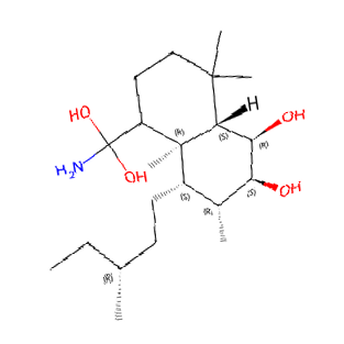 CC[C@@H](C)CC[C@H]1[C@@H](C)[C@H](O)[C@H](O)[C@H]2C(C)(C)CCC(C(N)(O)O)[C@]12C